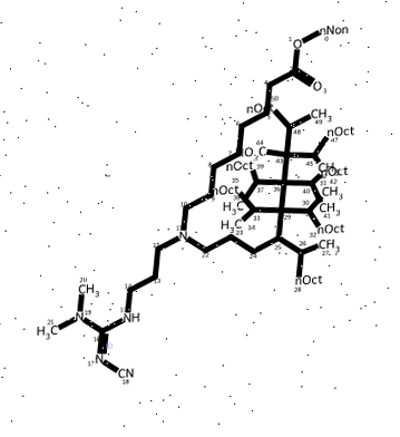 CCCCCCCCCOC(=O)CCCCCCCN(CCCN/C(=N\C#N)N(C)C)CCCC(C(C)CCCCCCCC)C(C(C)CCCCCCCC)(C(C)CCCCCCCC)C(C(C)CCCCCCCC)(C(C)CCCCCCCC)C(C(=O)O)(C(C)CCCCCCCC)C(C)CCCCCCCC